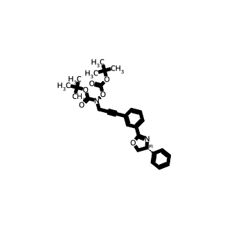 CC(C)(C)OC(=O)ON(CC#Cc1cccc(C2=N[C@H](c3ccccc3)CO2)c1)C(=O)OC(C)(C)C